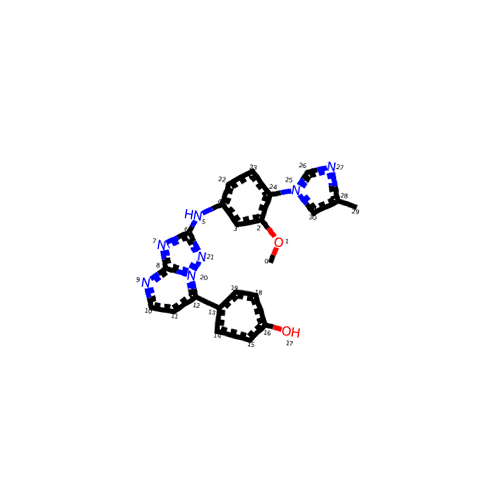 COc1cc(Nc2nc3nccc(-c4ccc(O)cc4)n3n2)ccc1-n1cnc(C)c1